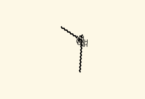 CCCCCCCCCCCCCCCCNC(=O)N[C@@H](CC(C)C)C(=O)NCCCCCCCCCCCC